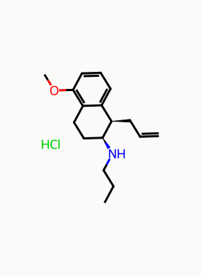 C=CC[C@@H]1c2cccc(OC)c2CC[C@@H]1NCCC.Cl